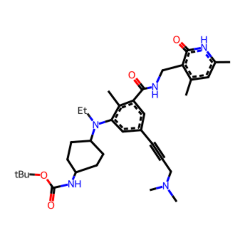 CCN(c1cc(C#CCN(C)C)cc(C(=O)NCc2c(C)cc(C)[nH]c2=O)c1C)C1CCC(NC(=O)OC(C)(C)C)CC1